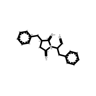 O=CC(Cc1ccccc1)N1C(=O)CC(Cc2ccccc2)C1=O